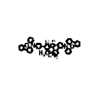 Cc1c2c3c(cccc3c3cc(N(c4ccccc4)c4cccc5c4oc4ccccc45)ccc13)C(C)(C)c1cc(-c3ccc(N(c4ccccc4)c4cccc5c4oc4ccccc45)cc3)ccc1-2